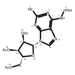 CCCCCCNc1nc(C#N)nc2c1ncn2[C@@H]1O[C@H](COC(C)=O)[C@@H](OC(C)=O)[C@H]1OC(C)=O